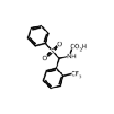 O=C(O)NC(c1ccccc1C(F)(F)F)S(=O)(=O)c1ccccc1